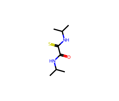 CC(C)NC(=O)C(=S)NC(C)C